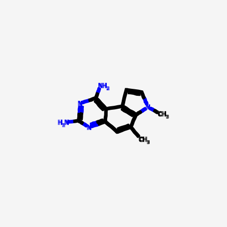 Cc1cc2nc(N)nc(N)c2c2ccn(C)c12